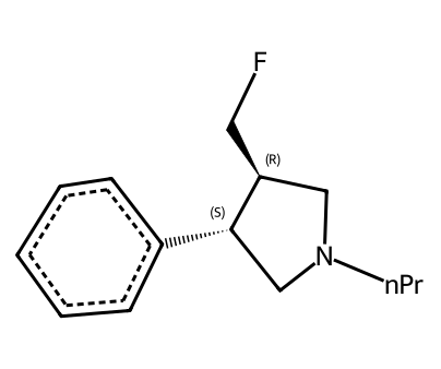 CCCN1C[C@H](CF)[C@@H](c2ccccc2)C1